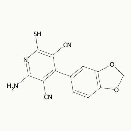 N#Cc1c(N)nc(S)c(C#N)c1-c1ccc2c(c1)OCO2